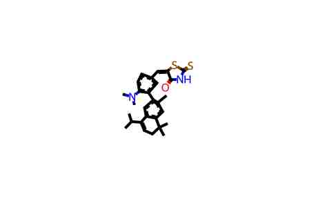 Cc1cc2c(cc1-c1cc(C=C3SC(=S)NC3=O)ccc1N(C)C)C(C(C)C)=CCC2(C)C